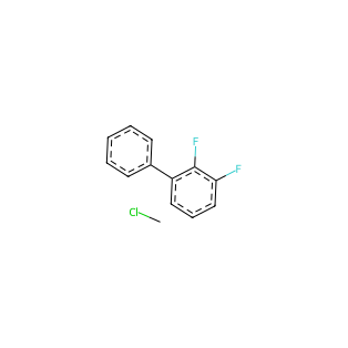 CCl.Fc1cccc(-c2ccccc2)c1F